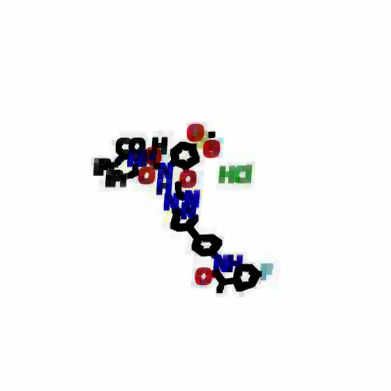 CC(C)C(N[C@H](C(=O)O)C(C)C)OC(=O)Nc1ccc(S(C)(=O)=O)cc1OCc1nc2ccc(-c3ccc(NC(=O)[C@H](C)c4ccc(F)cc4)cc3)cn2n1.Cl